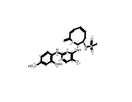 C=C1/C=C\C=C/C[C@@H](NS(C)(=O)=O)[C@H](Nc2nc(Nc3ccc(C(=O)O)cc3OC)ncc2C(F)(F)F)C1